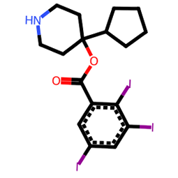 O=C(OC1(C2CCCC2)CCNCC1)c1cc(I)cc(I)c1I